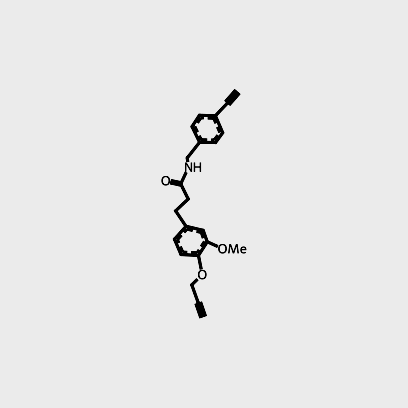 C#CCOc1ccc(CCC(=O)NCc2ccc(C#C)cc2)cc1OC